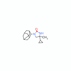 CC1(C2CC2)CN(C2C3CC4CC(C3)CC2C4)C(=O)N1